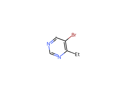 CCc1ncn[c]c1Br